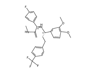 C=C(NC)[C@H](N[C@@H](CCc1ccc(C(F)(F)F)cc1)c1ccc(OC)c(OC)c1)c1ccc(F)cc1